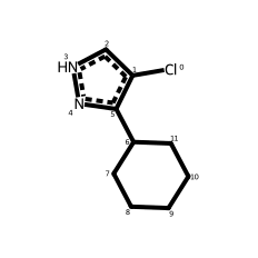 Clc1c[nH]nc1C1CCCCC1